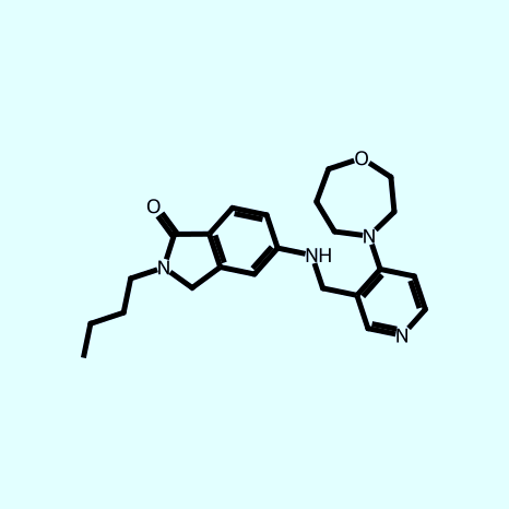 CCCCN1Cc2cc(NCc3cnccc3N3CCCOCC3)ccc2C1=O